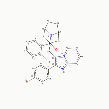 O=C(c1ccccc1F)N1C2CCC1CN(Cc1c(-c3ccc(Br)cc3)nc3ccccn13)C2